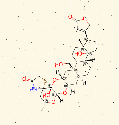 C[C@@H]1CC2(NC(=O)CS2)[C@]2(O)O[C@@H]3C[C@]4(CO)C5CC[C@]6(C)[C@@H](C7=CC(=O)OC7)CC[C@]6(O)[C@@H]5CC[C@H]4C[C@H]3O[C@@H]2O1